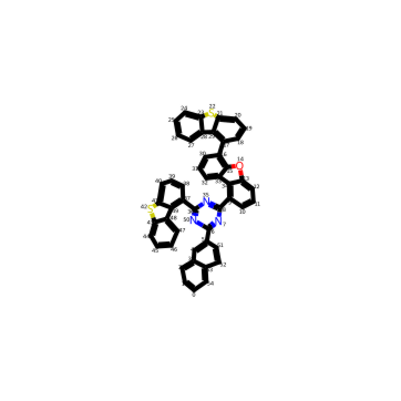 c1ccc2cc(-c3nc(-c4cccc5oc6c(-c7cccc8sc9ccccc9c78)cccc6c45)nc(-c4cccc5sc6ccccc6c45)n3)ccc2c1